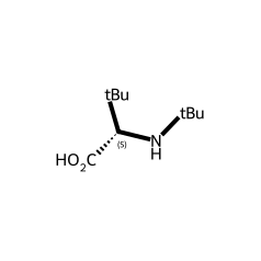 CC(C)(C)N[C@H](C(=O)O)C(C)(C)C